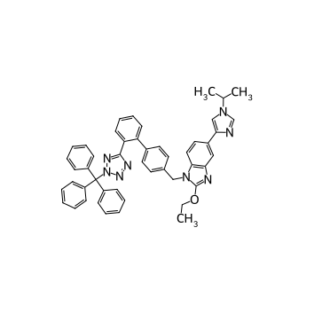 CCOc1nc2cc(-c3cn(C(C)C)cn3)ccc2n1Cc1ccc(-c2ccccc2-c2nnn(C(c3ccccc3)(c3ccccc3)c3ccccc3)n2)cc1